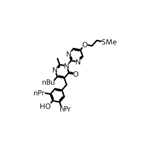 CCCCc1nc(C)n(-c2ncc(OCCSC)cn2)c(=O)c1Cc1cc(CCC)c(O)c(CCC)c1